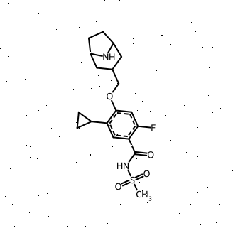 CS(=O)(=O)NC(=O)c1cc(C2CC2)c(OCC2CC3CCC(C2)N3)cc1F